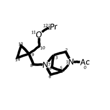 CC(=O)N1CC2CC1CN2CC1(COC(C)C)CC1